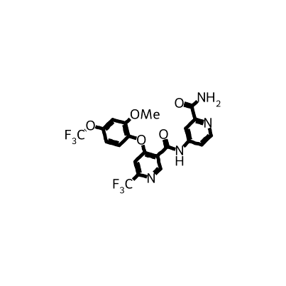 COc1cc(OC(F)(F)F)ccc1Oc1cc(C(F)(F)F)ncc1C(=O)Nc1ccnc(C(N)=O)c1